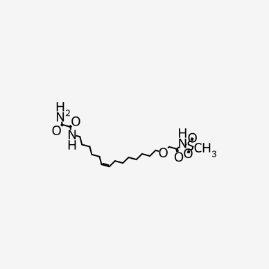 CS(=O)(=O)NC(=O)COCCCCCCC/C=C\CCCCCNC(=O)C(N)=O